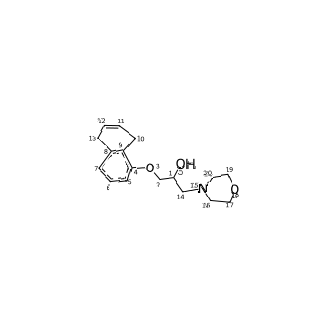 OC(COc1cccc2c1CC=CC2)CN1CCOCC1